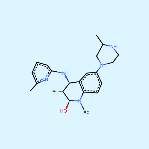 CC(=O)N1c2ccc(N3CCNC(C)C3)cc2[C@H](Nc2cccc(C)n2)[C@@H](C)[C@@H]1O